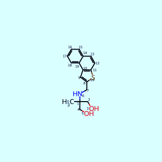 CC(CO)(CO)NCc1cc2c(ccc3ccccc32)s1